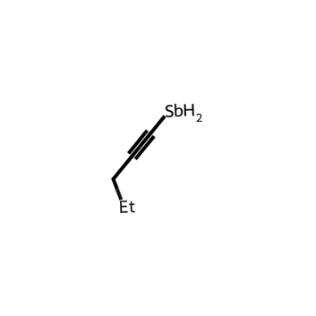 CCCC#[C][SbH2]